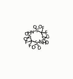 O=S1(=O)NS(=O)(=O)C(F)(F)S(=O)(=O)NS(=O)(=O)C1(F)F